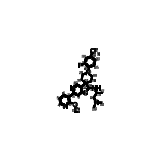 CCOc1ncccc1-c1ccc(C2(C(=O)NC(C)CN(C)C)CCN(c3ccc(C(F)(F)F)cc3F)CC2)cn1